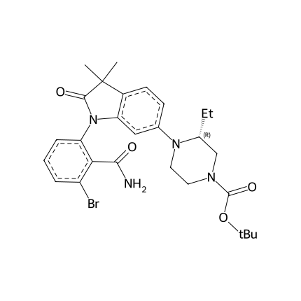 CC[C@@H]1CN(C(=O)OC(C)(C)C)CCN1c1ccc2c(c1)N(c1cccc(Br)c1C(N)=O)C(=O)C2(C)C